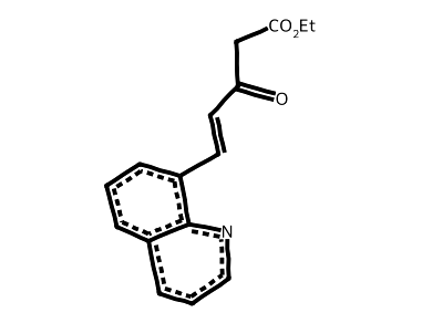 CCOC(=O)CC(=O)C=Cc1cccc2cccnc12